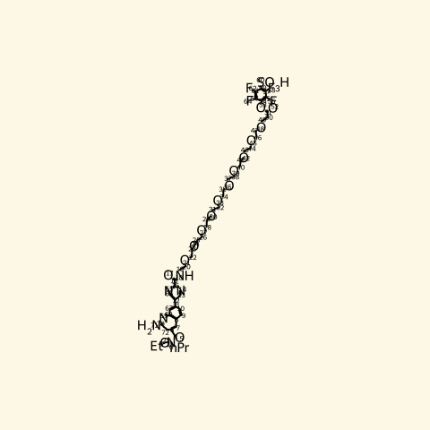 CCCN(OCC)C(=O)C1=Cc2ccc(-c3cnc(C(=O)NCCOCCOCCOCCOCCOCCOCCOCCOCCOCCOCCC(=O)Oc4c(F)c(F)c(S(=O)(=O)O)c(F)c4F)nc3)cc2N=C(N)C1